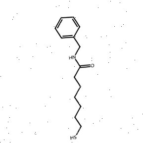 O=C(CCCCCCS)NCc1ccccc1